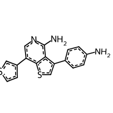 Nc1ccc(-c2csc3c(-c4ccsc4)cnc(N)c23)cc1